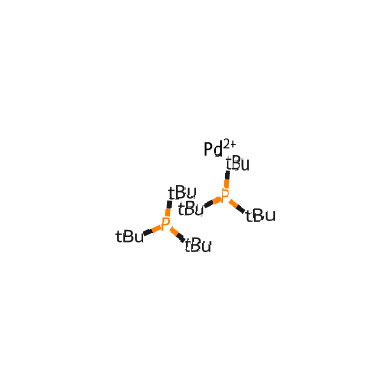 CC(C)(C)P(C(C)(C)C)C(C)(C)C.CC(C)(C)P(C(C)(C)C)C(C)(C)C.[Pd+2]